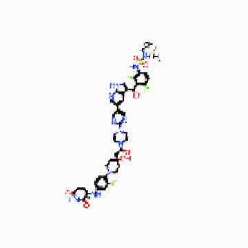 CCN(C)S(=O)(=O)Nc1ccc(F)c(C(=O)c2c[nH]c3ncc(-c4cnc(N5CCN(C(=O)CC6(O)CCN(c7ccc(N[C@@H]8CCC(=O)NC8=O)cc7F)CC6)CC5)nc4)cc23)c1F